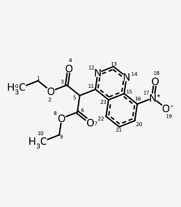 CCOC(=O)C(C(=O)OCC)c1ncnc2c([N+](=O)[O-])cccc12